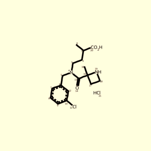 CC(CCN(Cc1cccc(Cl)c1)C(=O)C1(C)CCN1)C(=O)O.Cl